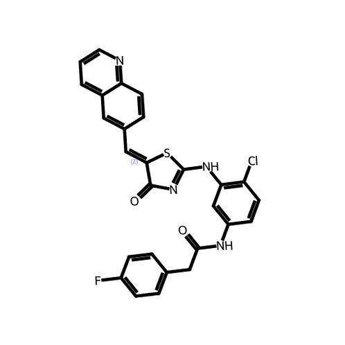 O=C(Cc1ccc(F)cc1)Nc1ccc(Cl)c(NC2=NC(=O)/C(=C/c3ccc4ncccc4c3)S2)c1